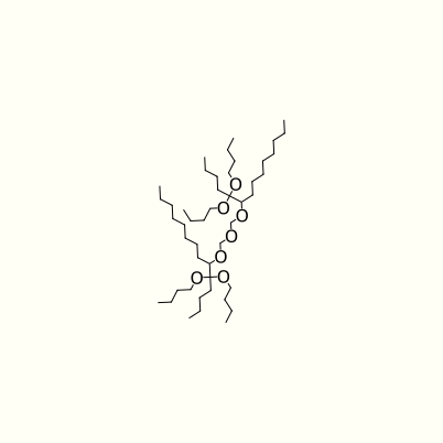 CCCCCCCCC(OCOCOC(CCCCCCCC)C(CCCC)(OCCCC)OCCCC)C(CCCC)(OCCCC)OCCCC